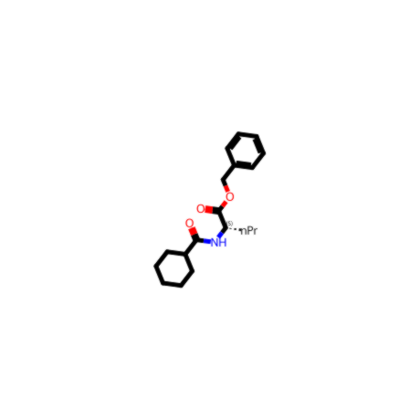 CCC[C@H](NC(=O)C1CCCCC1)C(=O)OCc1ccccc1